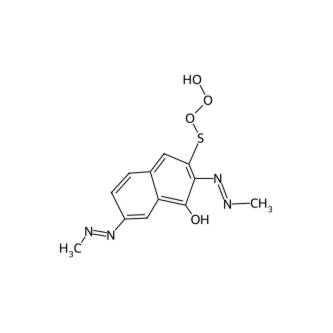 CN=Nc1ccc2cc(SOOO)c(N=NC)c(O)c2c1